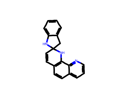 C1=CC2(Cc3ccccc3N2)Nc2c1ccc1cccnc21